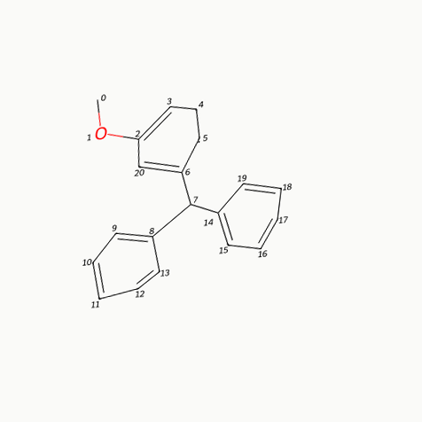 COC1=CC[CH]C(C(c2ccccc2)c2ccccc2)=C1